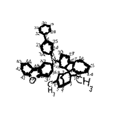 CCC1CC2CC(C)CC(C2)C12c1ccccc1-c1ccc(N(c3ccc(-c4ccccc4)cc3)c3ccc4oc5ccccc5c4c3)cc12